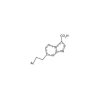 CC(=O)CCc1ccn2c(C(=O)O)cnc2c1